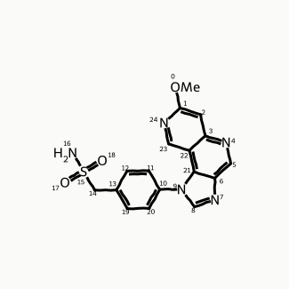 COc1cc2ncc3ncn(-c4ccc(CS(N)(=O)=O)cc4)c3c2cn1